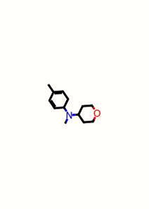 CC1=CCC(N(C)C2CCOCC2)C=C1